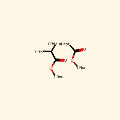 CCCCCCCCCCOC(=O)C(CCCCCC)CCCCCC.CCCCCCCCCOC(=O)CCCCCCC